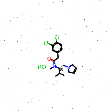 CC(C)[C@@H](CN1CC=CC1)N(C)C(=O)Cc1ccc(Cl)c(Cl)c1.Cl